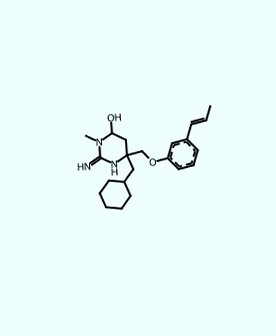 CC=Cc1cccc(OCC2(CC3CCCCC3)CC(O)N(C)C(=N)N2)c1